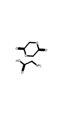 NCC(=O)O.O=C1COC(=O)CO1